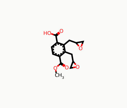 COC(=O)c1ccc(C(=O)O)c(CC2CO2)c1CC1CO1